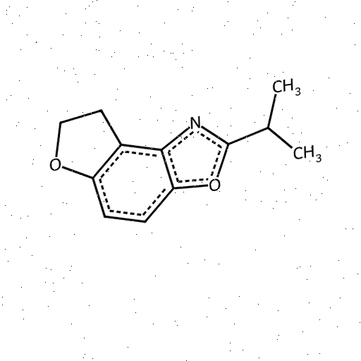 CC(C)c1nc2c3c(ccc2o1)OCC3